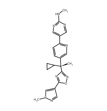 CNc1ncc(-c2ccc([C@](C)(c3noc(-c4cnn(C)c4)n3)C3CC3)cn2)cn1